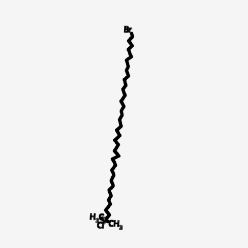 C[Si](C)(Cl)CCCCCCCCCCCCCCCCCCCCCCCCCCCCCCCCCCCCCBr